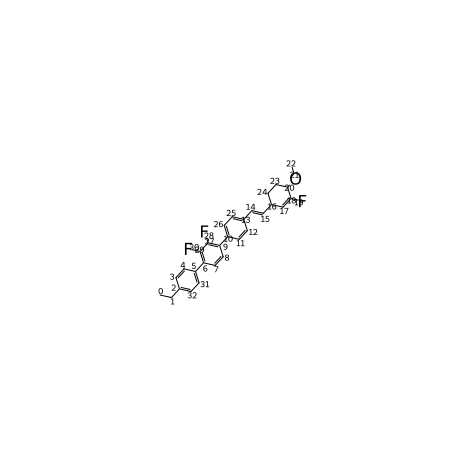 CCc1ccc(-c2ccc(-c3ccc(/C=C/C4C=C(F)C(OC)CC4)cc3)c(F)c2F)cc1